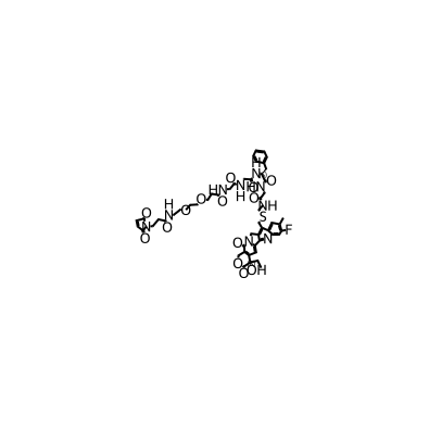 CC[C@@]1(O)C(=O)OCc2c1cc1n(c2=O)Cc2c-1nc1cc(F)c(C)cc1c2CSCNC(=O)CNC(=O)[C@H](Cc1ccccc1)NC(=O)CNC(=O)CNC(=O)CCOCCOCCNC(=O)CCN1C(=O)C=CC1=O